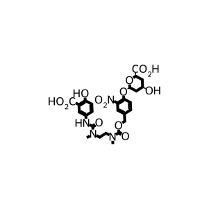 CN(CCN(C)C(=O)OCc1ccc(O[C@H]2C[C@@H](O)C[C@@H](C(=O)O)O2)c([N+](=O)[O-])c1)C(=O)Nc1ccc(O)c(C(=O)O)c1